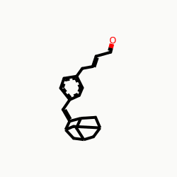 O=CC=CCc1ccc(C=C2C3CC4CC(C3)CC2C4)cc1